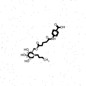 CCCCN1C[C@H](O)[C@@H](O)[C@H](O)[C@H]1COC(=O)CCCC(=O)Nc1ccc(C(=O)O)cc1